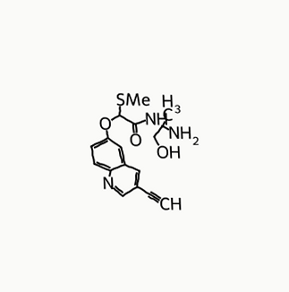 C#Cc1cnc2ccc(OC(SC)C(=O)NC(C)(N)CO)cc2c1